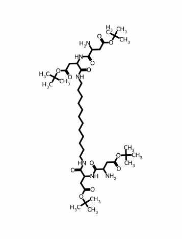 CC(C)(C)OC(=O)CC(N)C(=O)NC(CC(=O)OC(C)(C)C)C(=O)NCCCCCCCCCCCCNC(=O)C(CC(=O)OC(C)(C)C)NC(=O)C(N)CC(=O)OC(C)(C)C